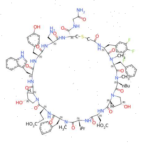 CCCC[C@H]1C(=O)N2C[C@H](O)C[C@@H]2C(=O)N[C@@H](CC(=O)O)C(=O)N[C@@H](C(C)C)C(=O)N(C)[C@@H](Cc2ccccc2)C(=O)N[C@@H](CCC(=O)O)C(=O)N2C[C@H](O)C[C@H]2C(=O)N[C@@H](Cc2c[nH]c3ccccc23)C(=O)N[C@@H](Cc2ccc(O)cc2)C(=O)N[C@@H](CN)C(=O)N[C@H](C(=O)NCC(N)=O)CSCC(=O)N[C@@H](Cc2cc(F)c(F)c(F)c2)C(=O)N(C)[C@@H](Cc2ccccc2)C(=O)N1C